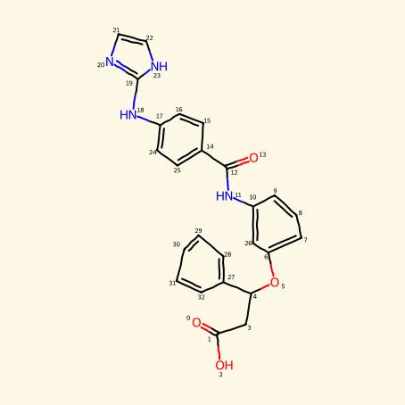 O=C(O)CC(Oc1cccc(NC(=O)c2ccc(Nc3ncc[nH]3)cc2)c1)c1ccccc1